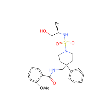 CC[C@H](CO)NS(=O)(=O)N1CCC(CNC(=O)c2ccccc2OC)(c2ccccc2)CC1